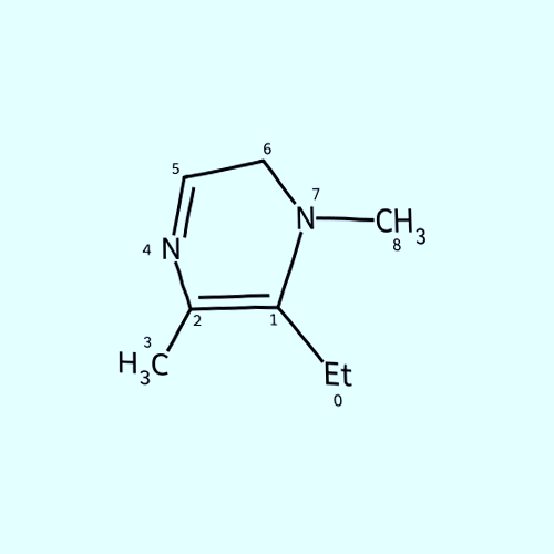 CCC1=C(C)N=CCN1C